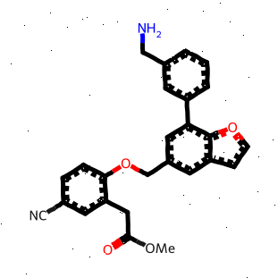 COC(=O)Cc1cc(C#N)ccc1OCc1cc(-c2cccc(CN)c2)c2occc2c1